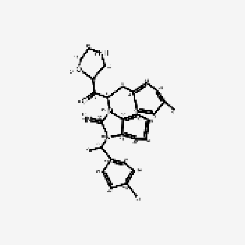 Cc1ccc(CC(C(=O)C2CNCCO2)n2c(=N)n(C(C)c3ccc(C)cc3)c3ccccc32)cc1